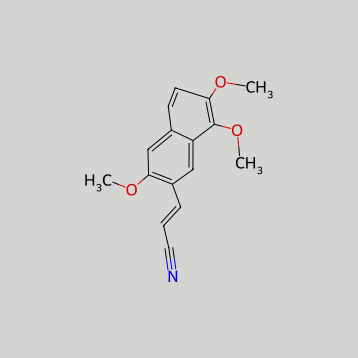 COc1cc2ccc(OC)c(OC)c2cc1C=CC#N